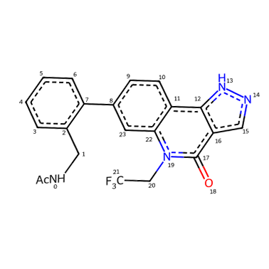 CC(=O)NCc1ccccc1-c1ccc2c3[nH]ncc3c(=O)n(CC(F)(F)F)c2c1